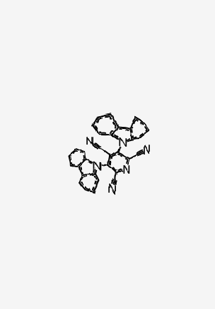 N#Cc1nc(C#N)c(-n2c3ccccc3c3ccccc32)c(C#N)c1-n1c2ccccc2c2ccccc21